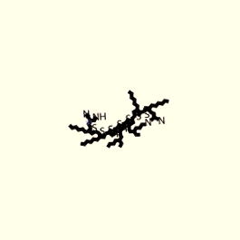 CCCCCCc1cc(-c2sc(-c3cc4c(s3)c3sc5c6sc(-c7cc(CCCCCC)c(-c8cc(CCCCCC)c(/C=C(/C#N)C=N)s8)s7)cc6n(CC(CC)CCCC)c5c3n4CC(CC)CCCC)cc2CCCCCC)sc1C=C(C#N)C#N